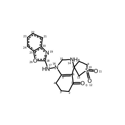 O=C1CCCC2=C1C1(CCS(=O)(=O)C1)NCN2Nc1nc2ccccc2o1